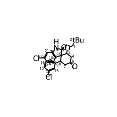 CC(C)(C)COC1CC(=O)CC(c2cccc(Cl)c2)C12C(=O)Nc1cc(Cl)ccc12